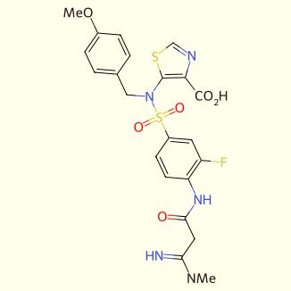 CNC(=N)CC(=O)Nc1ccc(S(=O)(=O)N(Cc2ccc(OC)cc2)c2scnc2C(=O)O)cc1F